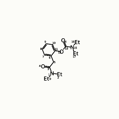 CCN(CC)C(=O)Cc1ccccc1OC(=O)N(CC)CC